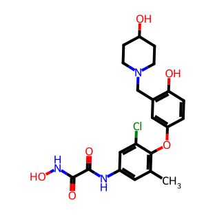 Cc1cc(NC(=O)C(=O)NO)cc(Cl)c1Oc1ccc(O)c(CN2CCC(O)CC2)c1